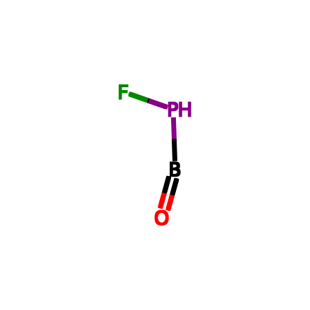 O=BPF